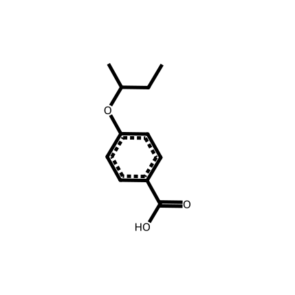 CCC(C)Oc1ccc(C(=O)O)cc1